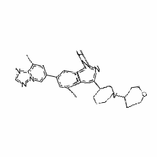 Cc1cc(-c2cc(C)c3ncnn3c2)cc2[nH]nc(C3CCCN(C4CCOCC4)C3)c12